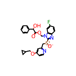 O=C(OCn1c([S@+]([O-])Cc2cc(OCC3CC3)ccn2)nc2ccc(F)cc21)[C@H](O)c1ccccc1